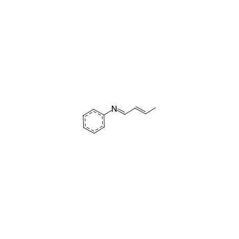 C/C=C/C=N/c1ccccc1